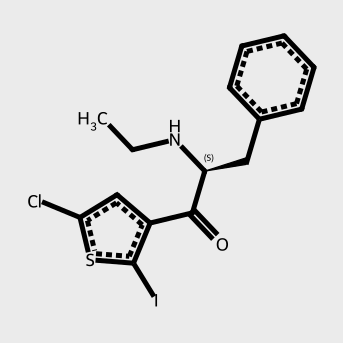 CCN[C@@H](Cc1ccccc1)C(=O)c1cc(Cl)sc1I